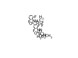 CC(Oc1cc(-n2nc(CN(C)C)n(C)c2=O)c(F)cc1C(=O)Nc1c(F)cccc1F)C(F)(F)F